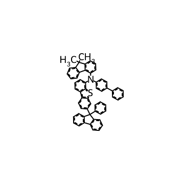 CC1(C)c2ccccc2-c2c(N(c3ccc(-c4ccccc4)cc3)c3cccc4c3sc3cc(C5(c6ccccc6)c6ccccc6-c6ccccc65)ccc34)cccc21